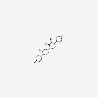 CC1CCC(C2CCC(C3CCC(C4CCC(C)CC4)C(F)C3F)CC2F)CC1